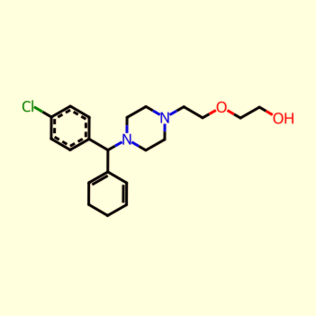 OCCOCCN1CCN(C(C2=CCCC=C2)c2ccc(Cl)cc2)CC1